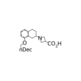 CCCCCCCCCCCOc1cccc2c1CC(N1CC(C(=O)O)C1)CC2